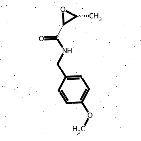 COc1ccc(CNC(=O)[C@@H]2O[C@@H]2C)cc1